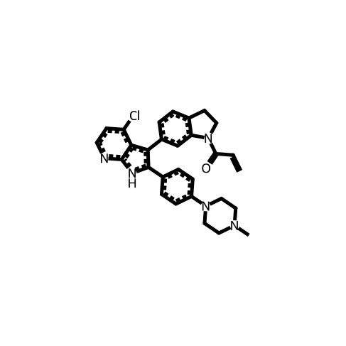 C=CC(=O)N1CCc2ccc(-c3c(-c4ccc(N5CCN(C)CC5)cc4)[nH]c4nccc(Cl)c34)cc21